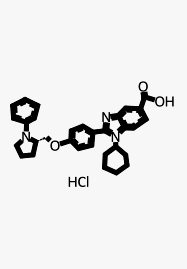 Cl.O=C(O)c1ccc2c(c1)nc(-c1ccc(OC[C@@H]3CCCN3c3ccccc3)cc1)n2C1CCCCC1